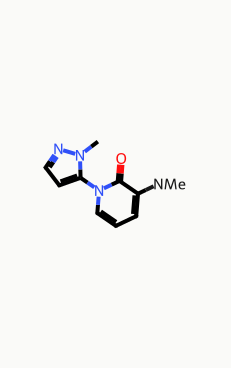 CNc1cccn(-c2ccnn2C)c1=O